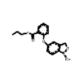 CCCOC(=O)c1ccccc1Oc1ccc2c(c1)COB2O